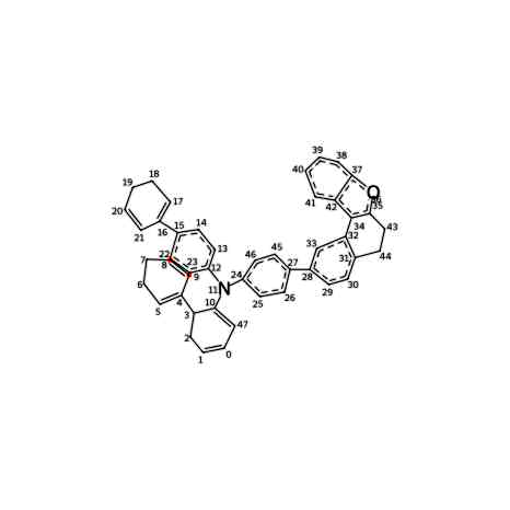 C1=CCC(C2=CCCC=C2)C(N(c2ccc(C3=CCCC=C3)cc2)c2ccc(-c3ccc4c(c3)-c3c(oc5ccccc35)CC4)cc2)=C1